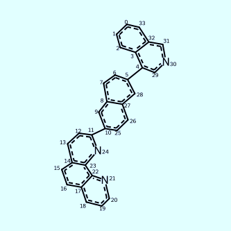 c1ccc2c(-c3ccc4cc(-c5ccc6ccc7cccnc7c6n5)ccc4c3)cncc2c1